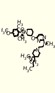 CCCCC1(N(C)C)CCN(CCN(C)c2nccc(OC3CCCN(S(=O)(=O)c4c(C)cc(OC)cc4C)C3)n2)CC1